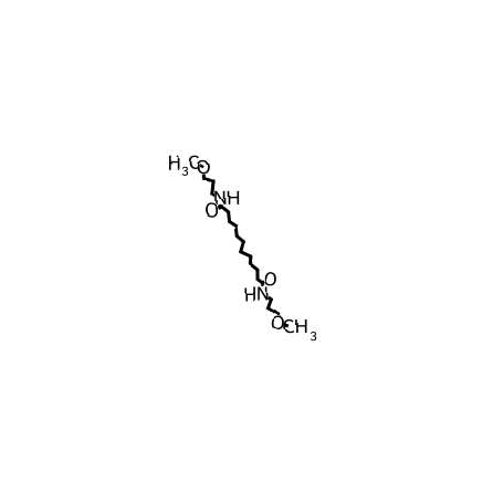 COCCCNC(=O)CCCCCCCCCCC(=O)NCCCOC